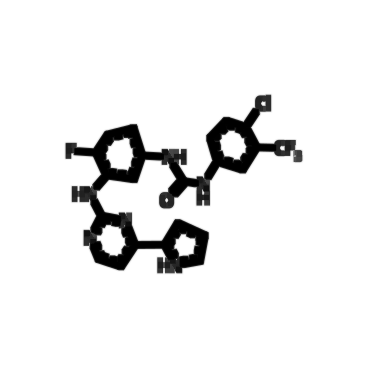 O=C(Nc1ccc(F)c(Nc2nccc(-c3ccc[nH]3)n2)c1)Nc1ccc(Cl)c(C(F)(F)F)c1